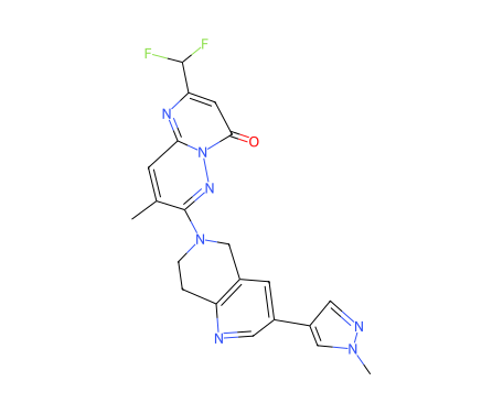 Cc1cc2nc(C(F)F)cc(=O)n2nc1N1CCc2ncc(-c3cnn(C)c3)cc2C1